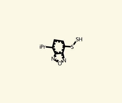 CC(C)c1ccc(SS)c2nonc12